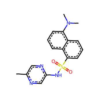 Cc1cnc(NS(=O)(=O)c2cccc3c(N(C)C)cccc23)cn1